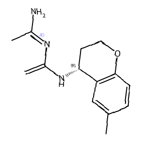 C=C(/N=C(\C)N)N[C@@H]1CCOc2ccc(C)cc21